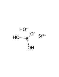 [O-]B(O)O.[OH-].[Sr+2]